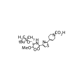 COC(=O)[C@H](CO[Si](C)(C)C(C)(C)C)NC(=O)c1csc(C2=CCN(C(=O)O)CC2)n1